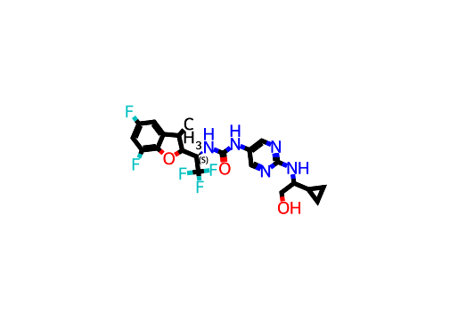 CC1c2cc(F)cc(F)c2OC1[C@H](NC(=O)Nc1cnc(NC(CO)C2CC2)nc1)C(F)(F)F